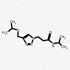 CC(C)NC(=O)CCn1cc(COC(C)C)nn1